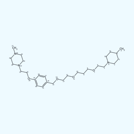 CC1CCN(CCOCCCOCCOCc2ccc(OCCN3CCN(C)CC3)cc2)CC1